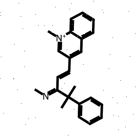 C/N=C(\C=C\c1cc2ccccc2[n+](C)c1)C(C)(C)c1ccccc1